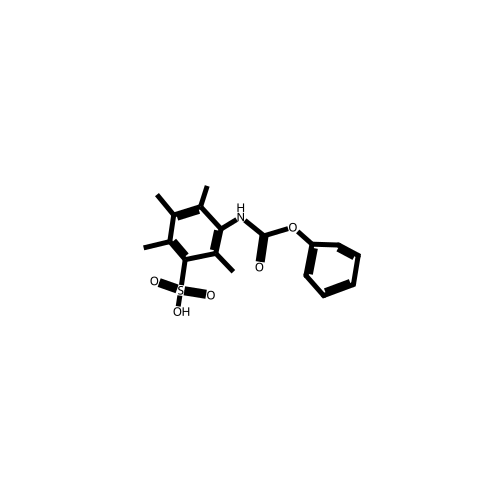 Cc1c(C)c(NC(=O)Oc2ccccc2)c(C)c(S(=O)(=O)O)c1C